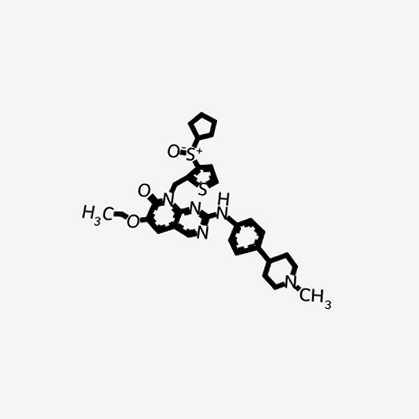 CCOc1cc2cnc(Nc3ccc(C4CCN(C)CC4)cc3)nc2n(Cc2sccc2[S+]([O-])C2CCCC2)c1=O